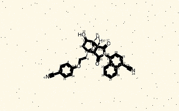 N#Cc1ccc(OCC[C@]23CC(O)[C@H](O2)[C@@H]2C(=O)N(c4ccc(C#N)c5ccccc45)C(=O)C23)cc1